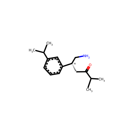 CC(C)C(=O)C[C@@H](CN)c1cccc(C(C)C)c1